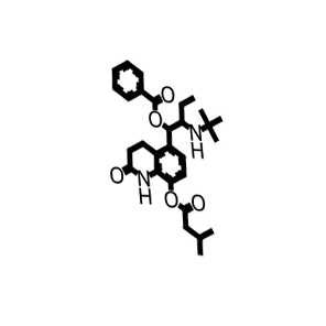 CCC(NC(C)(C)C)C(OC(=O)c1ccccc1)c1ccc(OC(=O)CC(C)C)c2c1CCC(=O)N2